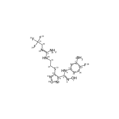 Bc1cc(N/C(=N\O)c2nonc2SCCN/C(N)=N/CC(F)(F)F)ccc1F